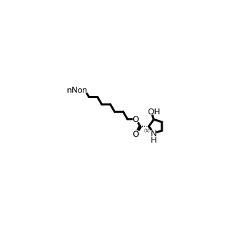 CCCCCCCCCCCCCCCCOC(=O)[C@H]1NCCC1O